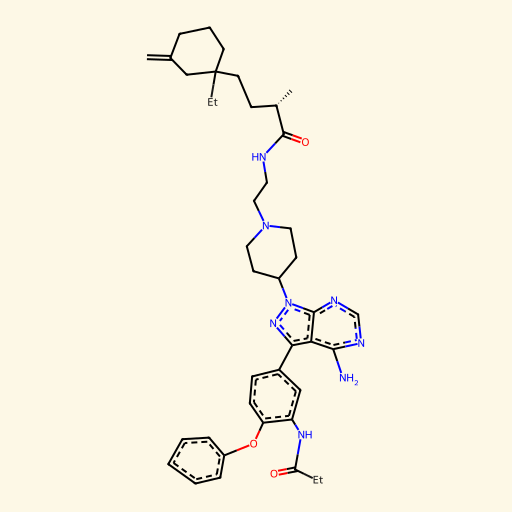 C=C1CCCC(CC)(CC[C@H](C)C(=O)NCCN2CCC(n3nc(-c4ccc(Oc5ccccc5)c(NC(=O)CC)c4)c4c(N)ncnc43)CC2)C1